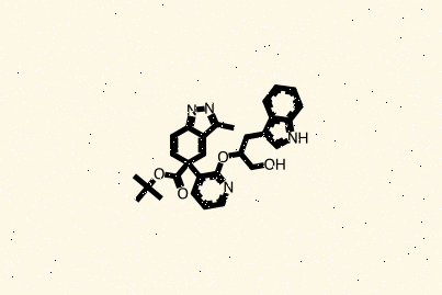 CC1=NN=C2C=CC(C(=O)OC(C)(C)C)(c3cccnc3OC(CO)Cc3c[nH]c4ccccc34)C=C12